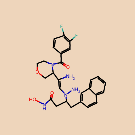 N/C(=C\N(N)C(CC(=O)NO)Cc1ccc2ccccc2c1)C1COCCN1C(=O)c1ccc(F)c(F)c1